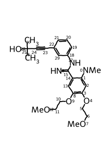 CNc1cc(OCCOC)c(OCCOC)cc1C(=N)Nc1cccc(C#CC(C)(C)O)c1